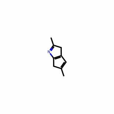 CC1=CC2=C(C1)N=C(C)C2